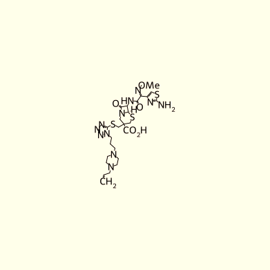 C=CCN1CCN(CCCn2nnnc2SCC2(C(=O)O)CS[C@@H]3C(NC(=O)C(=NOC)c4csc(N)n4)C(=O)N3C2)CC1